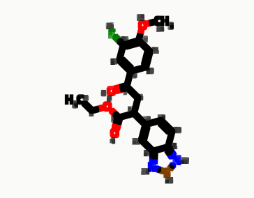 CCOC(=O)C(CC(=O)c1ccc(OC)c(F)c1)c1ccc2nsnc2c1